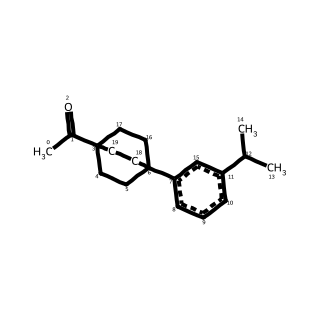 CC(=O)C12CCC(c3cccc(C(C)C)c3)(CC1)CC2